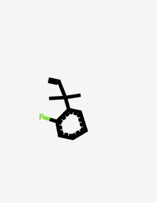 C=CC(C)(C)c1ccccc1F